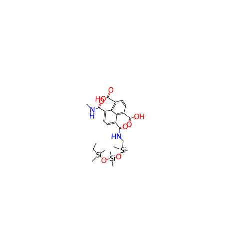 CC[Si](C)(C)O[Si](C)(C)O[Si](C)(C)CNC(=O)c1ccc(C(=O)NC)c2c(C(=O)O)ccc(C(=O)O)c12